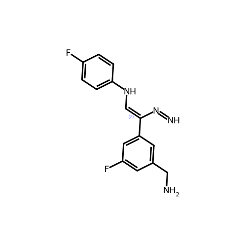 N=N/C(=C\Nc1ccc(F)cc1)c1cc(F)cc(CN)c1